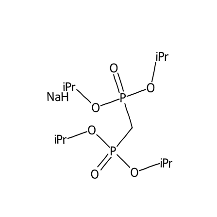 CC(C)OP(=O)(CP(=O)(OC(C)C)OC(C)C)OC(C)C.[NaH]